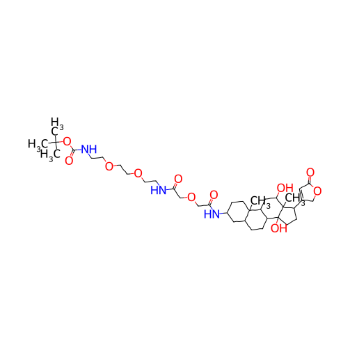 CC(C)(C)OC(=O)NCCOCCOCCNC(=O)COCC(=O)NC1CCC2(C)C(CCC3C2CC(O)C2(C)C(C4=CC(=O)OC4)CCC32O)C1